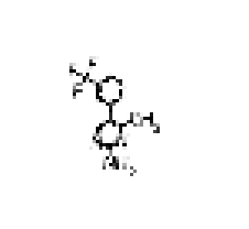 Cc1nc(N)ncc1-c1cccc(C(F)(F)F)c1